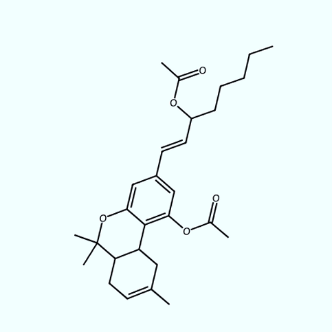 CCCCCC(C=Cc1cc(OC(C)=O)c2c(c1)OC(C)(C)C1CC=C(C)CC21)OC(C)=O